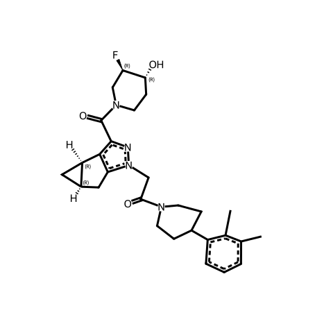 Cc1cccc(C2CCN(C(=O)Cn3nc(C(=O)N4CC[C@@H](O)[C@H](F)C4)c4c3C[C@H]3C[C@@H]43)CC2)c1C